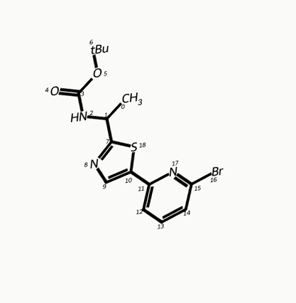 CC(NC(=O)OC(C)(C)C)c1ncc(-c2cccc(Br)n2)s1